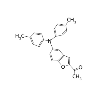 CC(=O)c1cc2cc(N(c3ccc(C)cc3)c3ccc(C)cc3)ccc2o1